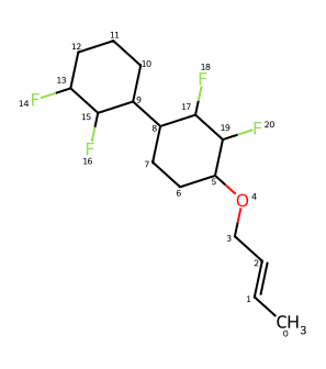 CC=CCOC1CCC(C2CCCC(F)C2F)C(F)C1F